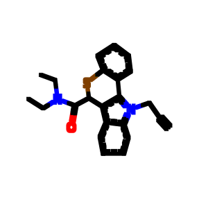 C#CCn1c2c(c3ccccc31)C(C(=O)N(CC)CC)Sc1ccccc1-2